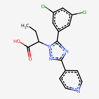 CCC(C(=O)O)n1nc(-c2ccncc2)nc1-c1cc(Cl)cc(Cl)c1